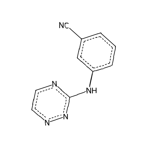 N#Cc1cccc(Nc2nccnn2)c1